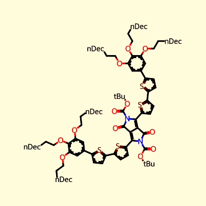 CCCCCCCCCCCCOc1cc(-c2ccc(-c3ccc(C4=C5C(=O)N(C(=O)OC(C)(C)C)C(c6ccc(-c7ccc(-c8cc(OCCCCCCCCCCCC)c(OCCCCCCCCCCCC)c(OCCCCCCCCCCCC)c8)s7)s6)=C5C(=O)N4C(=O)OC(C)(C)C)s3)s2)cc(OCCCCCCCCCCCC)c1OCCCCCCCCCCCC